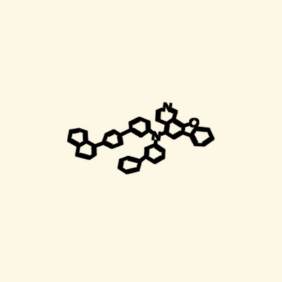 c1ccc(-c2cccc(N(c3cccc(-c4ccc(-c5cccc6ccccc56)cc4)c3)c3cc4c5ccccc5oc4c4cnccc34)c2)cc1